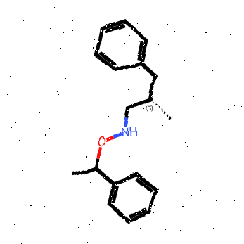 CC(ONC[C@@H](C)Cc1ccccc1)c1ccccc1